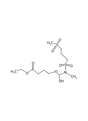 CCOC(=O)CCCOC(O)N(C)S(=O)(=O)CCCS(C)(=O)=O